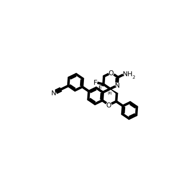 N#Cc1cccc(-c2ccc3c(c2)[C@@]2(CC(c4ccccc4)O3)N=C(N)OCC2(F)F)c1